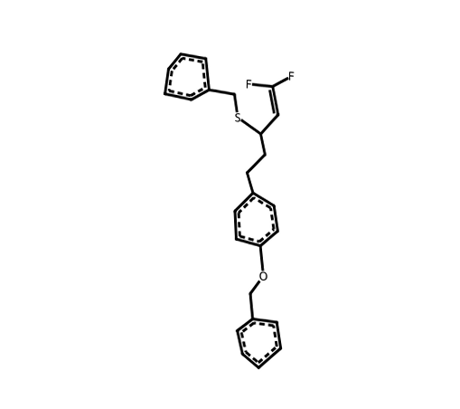 FC(F)=CC(CCc1ccc(OCc2ccccc2)cc1)SCc1ccccc1